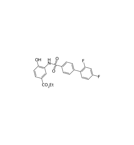 CCOC(=O)c1ccc(O)c(NS(=O)(=O)c2ccc(-c3ccc(F)cc3F)cc2)c1